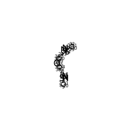 C(=Cc1nnc(-c2ccccc2)s1)c1ccc(Oc2ccc(C=Cc3nnc(-c4ccccc4)s3)cc2)cc1